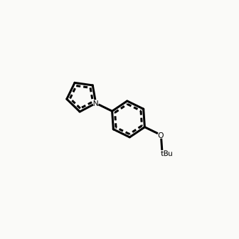 CC(C)(C)Oc1ccc(-n2cccc2)cc1